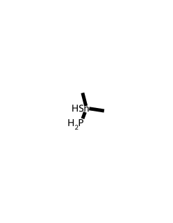 [CH3][SnH]([CH3])[PH2]